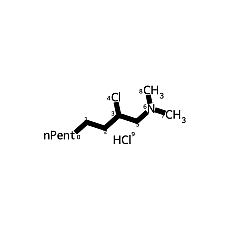 CCCCCCCC(Cl)CN(C)C.Cl